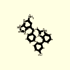 Nc1cc([C@H](Cc2nc3c(-c4cccc(Cl)c4)cccc3[nH]2)c2ccccc2)c2nn[nH]c2n1